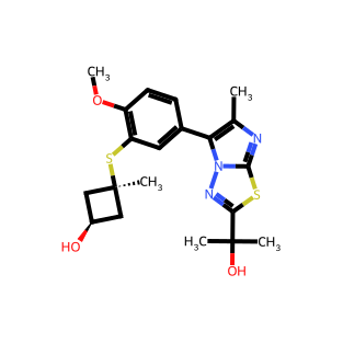 COc1ccc(-c2c(C)nc3sc(C(C)(C)O)nn23)cc1S[C@]1(C)C[C@H](O)C1